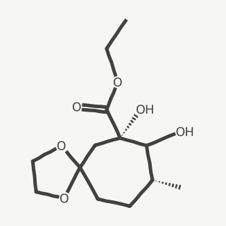 CCOC(=O)[C@]1(O)CC2(CC[C@@H](C)C1O)OCCO2